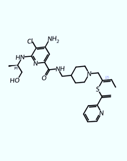 C=C(S/C(=C\C)CN1CCC(CNC(=O)c2cc(N)c(Cl)c(N[C@H](C)CO)n2)CC1)c1ccccn1